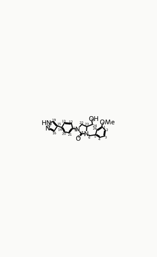 COc1cccc(CN2C(=O)N(c3ccc(-c4cn[nH]c4)cc3)CC2CO)c1